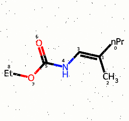 CCC/C(C)=C/NC(=O)OCC